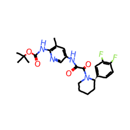 Cc1cc(NC(=O)C(=O)N2CCCC[C@H]2c2ccc(F)c(F)c2)cnc1NC(=O)OC(C)(C)C